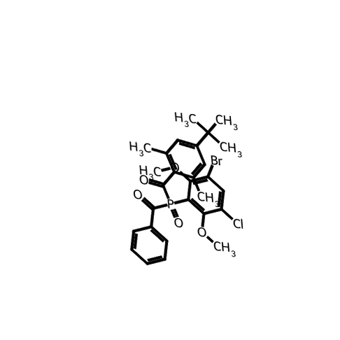 COc1c(Cl)cc(Br)c(OC)c1P(=O)(C(=O)c1ccccc1)C(=O)c1c(C)cc(C(C)(C)C)cc1C